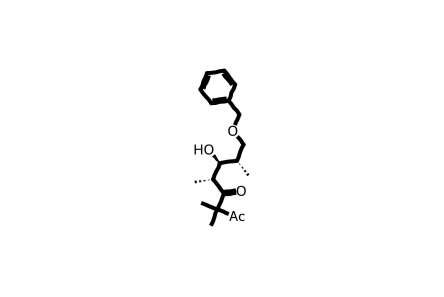 CC(=O)C(C)(C)C(=O)[C@H](C)[C@@H](O)[C@@H](C)COCc1ccccc1